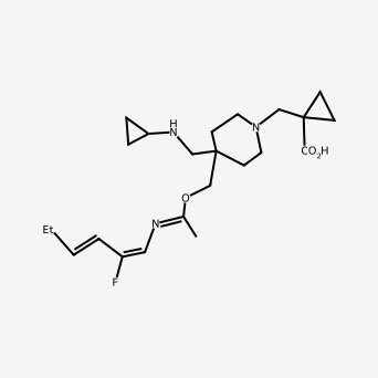 CC/C=C/C(F)=C\N=C(/C)OCC1(CNC2CC2)CCN(CC2(C(=O)O)CC2)CC1